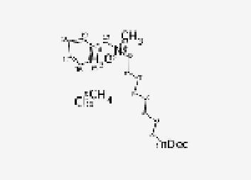 C.CCCCCCCCCCCCCCCCCC[N+](C)(C)Cc1ccccc1.[Cl-]